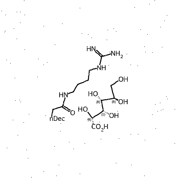 CCCCCCCCCCCC(=O)NCCCCNC(=N)N.O=C(O)[C@H](O)[C@@H](O)[C@H](O)[C@H](O)CO